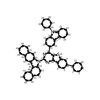 c1ccc(-c2ccc3c(c2)sc2c(-c4ccc5c(c4)c4ccccc4n5-c4ccccc4)nc(-n4c5cc6ccccc6cc5c5c6ccccc6ccc54)nc23)cc1